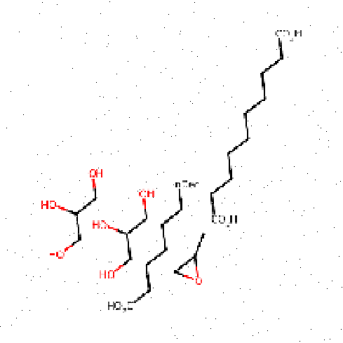 CC1CO1.CCCCCCCCCCCCCCCC(=O)O.O=C(O)CCCCCCCCC(=O)O.OCC(O)CO.OCC(O)CO